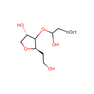 CCCCCCCCCC(O)OC1[C@@H](O)CO[C@@H]1CCO